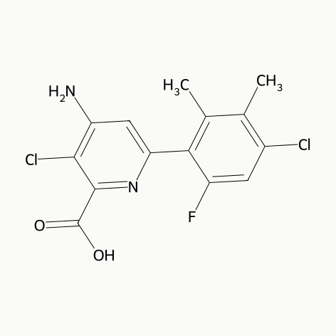 Cc1c(Cl)cc(F)c(-c2cc(N)c(Cl)c(C(=O)O)n2)c1C